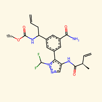 C=CCC(NC(=O)OC(C)(C)C)c1cc(C(N)=O)cc(-c2c(NC(=O)[C@H](C)C=C)cnn2C(F)F)c1